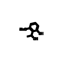 COc1cccc(O)c1C(C)O